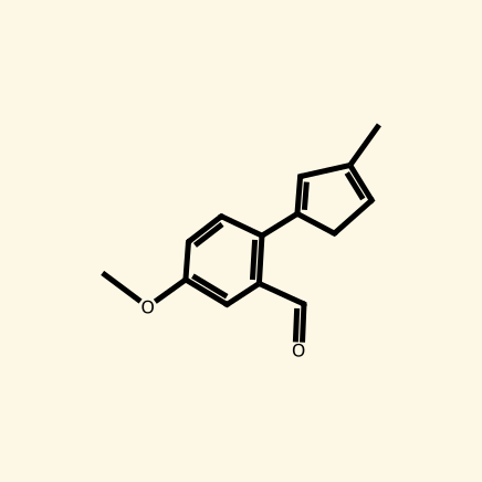 COc1ccc(C2=CC(C)=CC2)c(C=O)c1